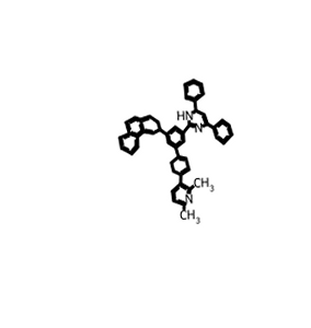 Cc1ccc(C2=CC=C(c3cc(C4=NC(c5ccccc5)=CC(c5ccccc5)N4)cc(C4C=c5c(ccc6ccccc56)=CC4)c3)CC2)c(C)n1